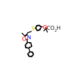 Cc1oc(-c2ccc(-c3ccccc3)cc2)nc1CCSc1ccc(OC(C)(C)C(=O)O)cc1